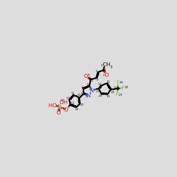 CC(=O)C=CC(=O)c1cc(-c2ccc(OP(=O)(O)O)cc2)nn1-c1ccc(C(F)(F)F)cc1